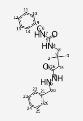 CC(C)(CNC(=O)NCc1ccccc1)CC(=O)NNCc1ccccc1